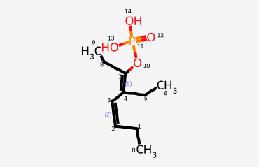 CC/C=C\C(CC)=C(/CC)OP(=O)(O)O